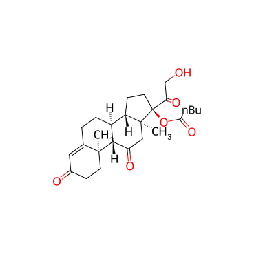 CCCCC(=O)O[C@]1(C(=O)CO)CC[C@H]2[C@@H]3CCC4=CC(=O)CC[C@]4(C)[C@H]3C(=O)C[C@@]21C